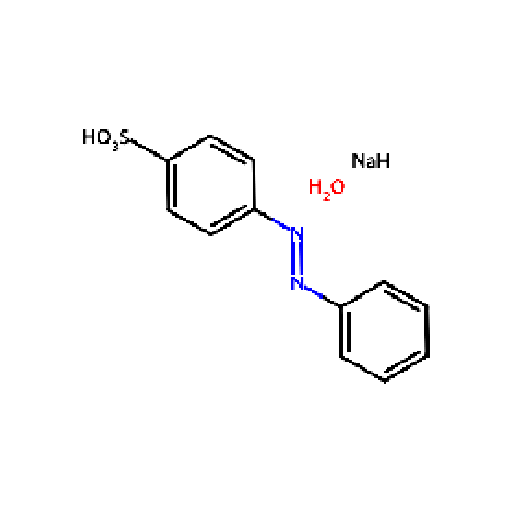 O.O=S(=O)(O)c1ccc(/N=N/c2ccccc2)cc1.[NaH]